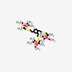 CCO[Si](OCC)(OCC)C(C)CSSCCC1CCC(CCSSCC(C)[Si](OCC)(OCC)OCC)C(CCSSCC(C)[Si](OCC)(OCC)OCC)C1